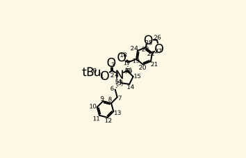 CC(C)(C)OC(=O)N1[C@@H](CCc2ccccc2)CC[C@H]1C(=O)c1ccc2c(c1)OCO2